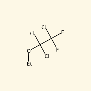 CCOC(Cl)(Cl)C(F)(F)Cl